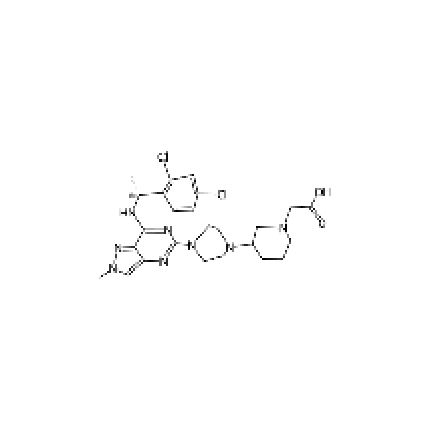 C[C@@H](Nc1nc(N2CCN(C3CCCN(CC(=O)O)C3)CC2)nc2cn(C)nc12)c1ccc(Cl)cc1Cl